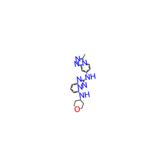 Cc1nnc2cc(Nc3nc4cccc(NC5CCOCC5)n4n3)ccn12